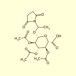 CC(=O)O[C@@H]1[C@@H](OC(C)=O)[C@H](OC(C)N2C(=O)CCC2=O)O[C@H](C(=O)O)[C@H]1OC(C)=O